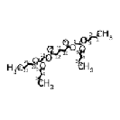 CCCCOC(COC(=O)CCCC(=O)OCC(OCCCC)OCCCC)OCCCC